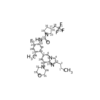 CCCc1cn2cc(-c3cc(NC(=O)N4CC[C@@H](CC(F)(F)F)C4)c(F)cc3C)cc(N3CCOCC3)c2n1